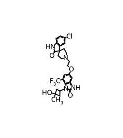 CC1(O)CC(n2c(=O)[nH]c3cc(OCCN4CCC5(CC4)C(=O)Nc4ccc(Cl)cc45)cc(C(F)(F)F)c32)C1